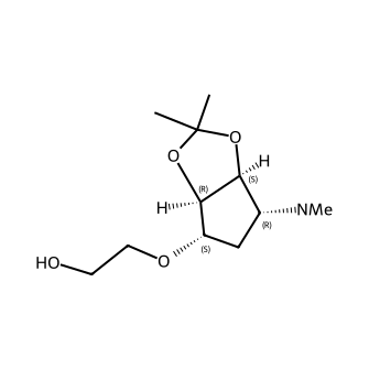 CN[C@@H]1C[C@H](OCCO)[C@H]2OC(C)(C)O[C@H]21